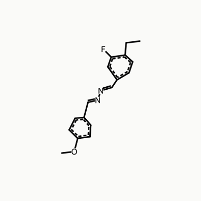 CCc1ccc(/C=N/N=C/c2ccc(OC)cc2)cc1F